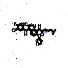 CN(C)C/C=C/C(=O)Nc1c(O[C@H]2CCOC2)ccc2c(Nc3ccc(F)c(Cl)c3)c(C#N)cnc12